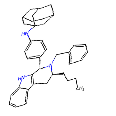 CCCC[C@H]1Cc2c([nH]c3ccccc23)[C@H](c2ccc(NC34CC5CC(CC(C5)C3)C4)cc2)N1Cc1ccccc1